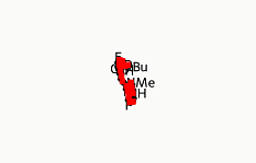 CNc1nc(Nc2ccc(F)cc2)ncc1C#CCCCNC(=O)[C@@H]1C[C@@H](F)CN1C(=O)OC(C)(C)C